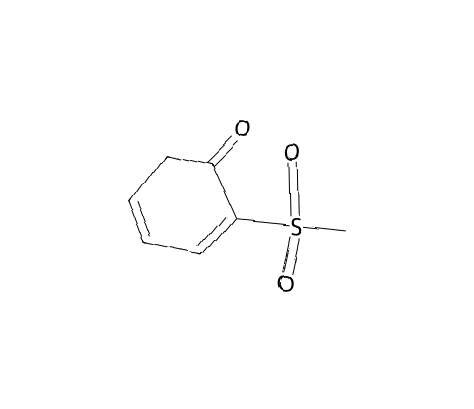 CS(=O)(=O)C1=CC=CCC1=O